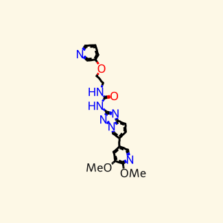 COc1cc(-c2ccc3nc(NC(=O)NCCOc4cccnc4)nn3c2)cnc1OC